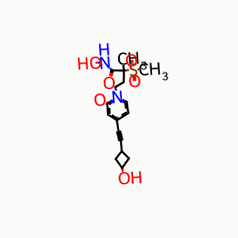 CC(CCn1ccc(C#CC2CC(O)C2)cc1=O)(C(=O)NO)S(C)(=O)=O